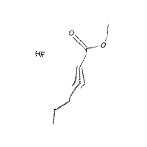 CCCC#CC(=O)OC.F